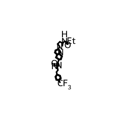 CCC(=O)NC1CCN(c2ccc3cc(-c4nc(CCc5ccc(C(F)(F)F)cc5)no4)ccc3n2)C1